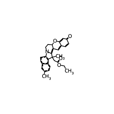 CCOC(=O)CC1(C)C2=C3C=C4C=CC(=O)C=C4OC3CCN2c2ccc3cc(C)ccc3c21